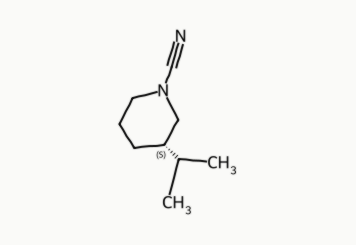 CC(C)[C@@H]1CCCN(C#N)C1